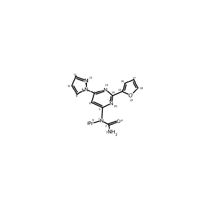 CC(C)N(C(N)=O)c1cc(-n2cccn2)nc(-c2ccco2)n1